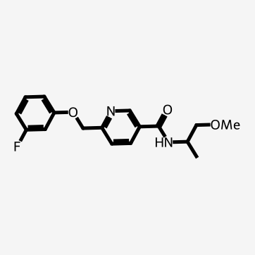 COCC(C)NC(=O)c1ccc(COc2cccc(F)c2)nc1